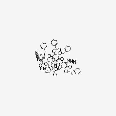 CCC1OC(OC)[C@@H](N=[N+]=[N-])[C@H](OCc2ccccc2)C1O[C@@H]1O[C@@H](CC)[C@@H](OC2OC(COC(=O)c3ccccc3)C(C)[C@@H](OCc3ccccc3)[C@@H]2N=[N+]=[N-])C(OCc2ccccc2)C1OC(=O)c1ccccc1